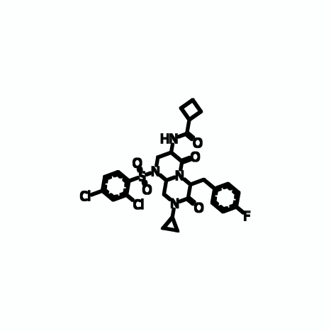 O=C(NC1CN(S(=O)(=O)c2ccc(Cl)cc2Cl)C2CN(C3CC3)C(=O)C(Cc3ccc(F)cc3)N2C1=O)C1CCC1